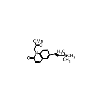 COC(=O)Cn1c(=O)ccc2cc(C#C[Si](C)(C)C)ccc21